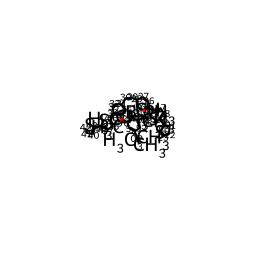 CC(C)(C)c1cc(C(C)(C)C)c(B2c3cc(-c4ccc(-c5cccs5)s4)ccc3C=Cc3ccc(-c4ccc(-c5cccs5)s4)cc32)c(C(C)(C)C)c1